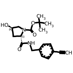 C#Cc1ccc(CNC(=O)[C@@H]2C[C@@H](O)CN2C(=O)OC(C)(C)C)cc1